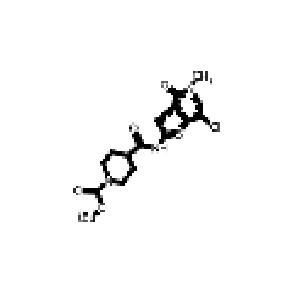 Cn1cc(Cl)c2sc(NC(=O)C3CCN(C(=O)OC(C)(C)C)CC3)cc2c1=O